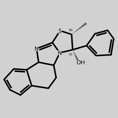 C[C@H]1SC2=NC3c4ccccc4CCC3N2[C@]1(O)c1ccccc1